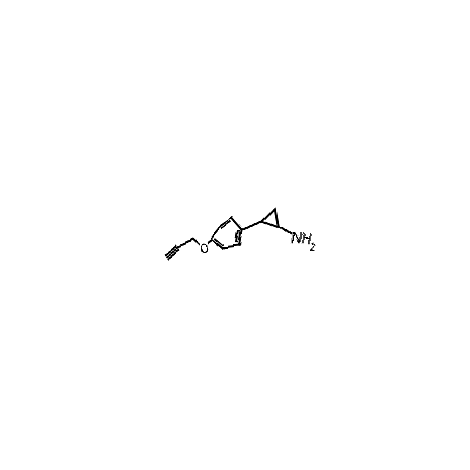 C#CCOc1ccc(C2CC2N)cc1